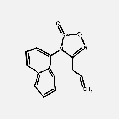 C=CCC1=NOS(=O)N1c1cccc2ccccc12